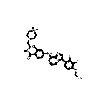 CN(CCN1CC[N+](C)(C)CC1)C(=O)c1ccc(Nc2nccn3c(-c4ccc(OCC#N)c(F)c4F)cnc23)cc1Cl